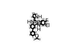 CC(C)Oc1cccc(C2=CC3C(C=C2)NC(C2=CCCN2)NC3NC2=CC(Cl)C(F)C=C2)c1